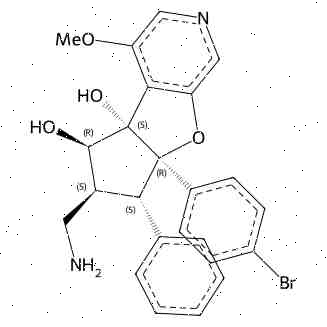 COc1cncc2c1[C@]1(O)[C@H](O)[C@H](CN)[C@@H](c3ccccc3)[C@]1(c1ccc(Br)cc1)O2